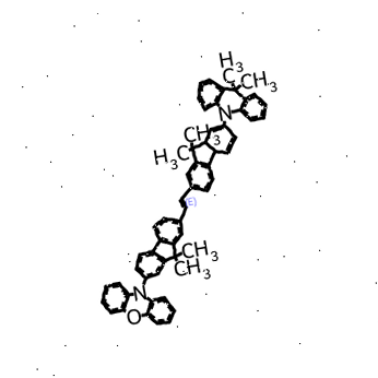 CC1(C)c2cc(/C=C/c3ccc4c(c3)C(C)(C)C3C=C(N5c6ccccc6C(C)(C)c6ccccc65)C=CC43)ccc2-c2ccc(N3c4ccccc4Oc4ccccc43)cc21